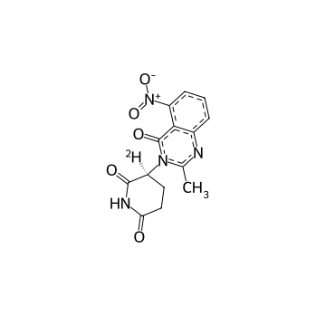 [2H][C@]1(n2c(C)nc3cccc([N+](=O)[O-])c3c2=O)CCC(=O)NC1=O